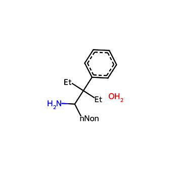 CCCCCCCCCC(N)C(CC)(CC)c1ccccc1.O